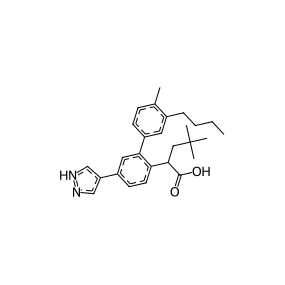 CCCCc1cc(-c2cc(-c3cn[nH]c3)ccc2C(CC(C)(C)C)C(=O)O)ccc1C